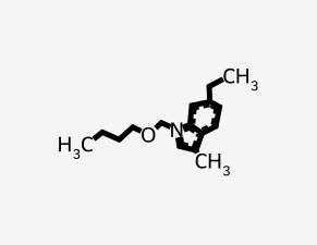 CCCCOCn1cc(C)c2ccc(CC)cc21